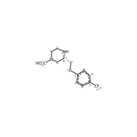 O=C(O)N1CCN[C@H](COc2ccc(C(F)(F)F)cc2)C1